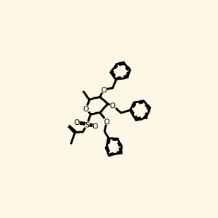 C=C(C)CS(=O)(=O)C1OC(C)C(OCc2ccccc2)C(OCc2ccccc2)C1OCc1ccccc1